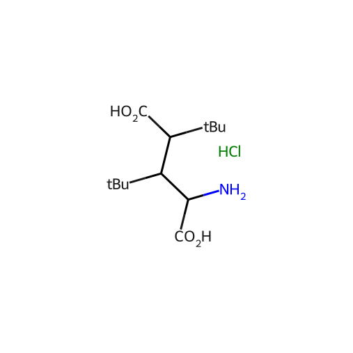 CC(C)(C)C(C(=O)O)C(C(N)C(=O)O)C(C)(C)C.Cl